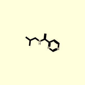 C=C(NCC(C)C)c1ccncn1